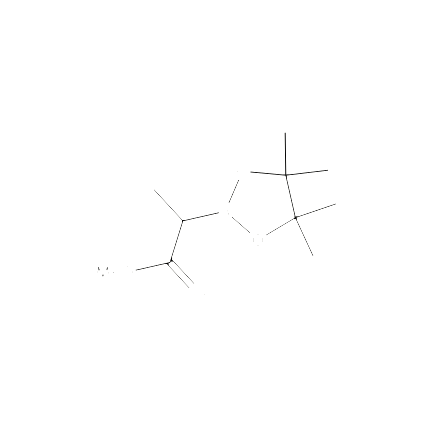 COC(=O)C(C)B1OC(C)(C)C(C)(C)O1